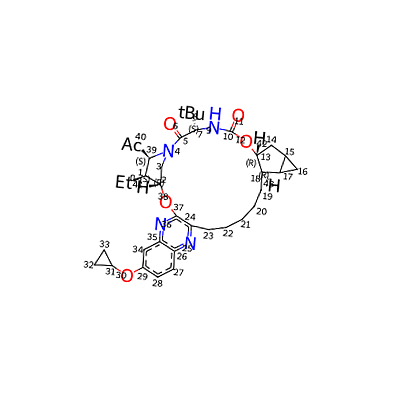 CC[C@@H]1[C@@H]2CN(C(=O)[C@H](C(C)(C)C)NC(=O)O[C@@H]3CC4CC4[C@H]3CCCCCc3nc4ccc(OC5CC5)cc4nc3O2)[C@@H]1C(C)=O